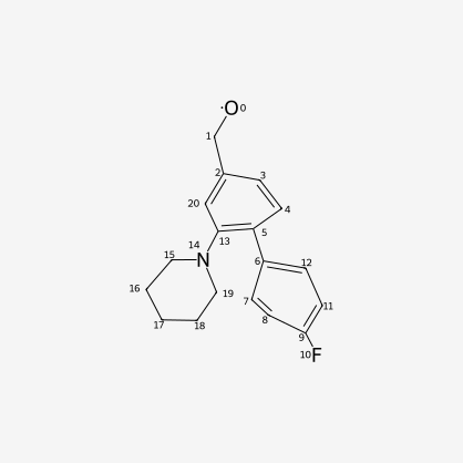 [O]Cc1ccc(-c2ccc(F)cc2)c(N2CCCCC2)c1